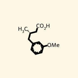 COc1cccc(C[C@H](C)CC(=O)O)c1